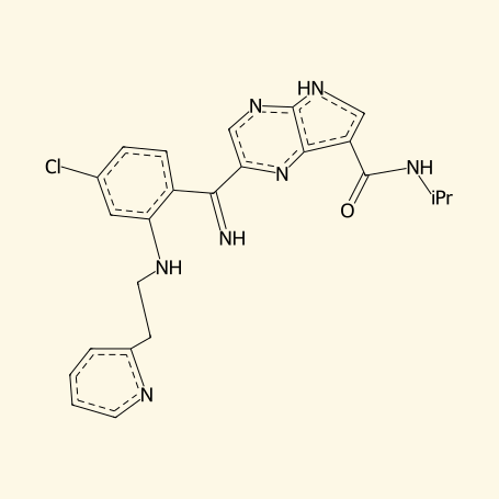 CC(C)NC(=O)c1c[nH]c2ncc(C(=N)c3ccc(Cl)cc3NCCc3ccccn3)nc12